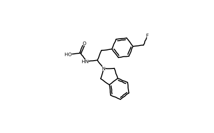 O=C(O)NC(Cc1ccc(CF)cc1)N1Cc2ccccc2C1